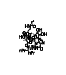 C=CC(=O)NCCOP(=O)(O)N([C@@H](C)C(=O)OCC(CCC)CCC)P(=O)(O)OC[C@H]1O[C@@H](n2cnc3c(=O)[nH]c(N)nc32)[C@H](O)[C@@H]1O